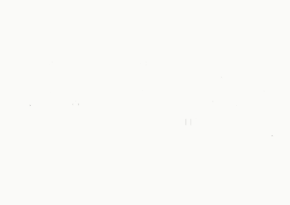 CCC(C)(C)C(=O)OCCC(=O)OCC1(O)C2CC3CC(C2)CC1C3